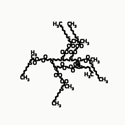 CCCCCCCCSCC(C)C(=O)OCCOC(=O)CCN(CCCCN(CCCN(CCC(=O)OCCOC(=O)C(C)CSCCCCCCCC)CCC(=O)OCCOC(=O)C(C)CSCCCCCCCC)CCC(=O)OCCOC(=O)C(C)CSCCCCCCCC)CCCN(CCC(=O)OCCOC(=O)C(C)CSCCCCCCCC)CCC(=O)OCCOC(=O)C(C)CSCCCCCCCC